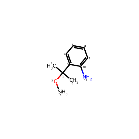 CC(C)(O[SiH3])c1ccccc1N